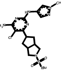 Cn1cc(Nc2nc(N)c(Cl)c(C3CC4CN(S(=O)(=O)C(C)(C)C)CC4C3)n2)cn1